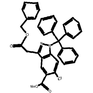 COC(=O)c1cc2c(CC(=O)OCc3ccccc3)nn(C(c3ccccc3)(c3ccccc3)c3ccccc3)c2cc1Cl